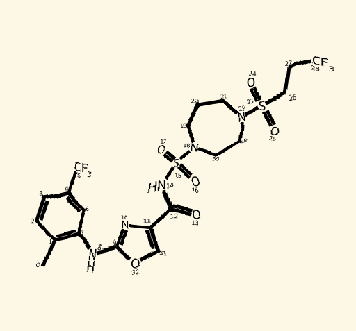 Cc1ccc(C(F)(F)F)cc1Nc1nc(C(=O)NS(=O)(=O)N2CCCN(S(=O)(=O)CCC(F)(F)F)CC2)co1